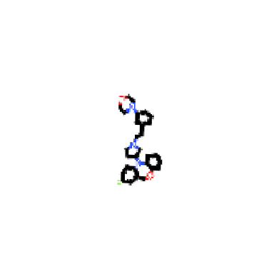 Fc1ccc2c(c1)COc1ccccc1N2C1CCN(CCc2cccc(N3CCOCC3)c2)C1